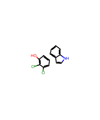 Oc1cccc(Cl)c1Cl.c1ccc2[nH]ccc2c1